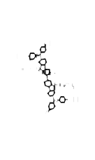 CCCCCCC1(CCCCCC)c2cc(-c3ccc4c(c3)C(CCCCCC)(CCCCCC)c3cc(N(c5ccc(C)cc5)c5ccc(C)cc5)ccc3-4)ccc2-c2ccc(N(c3ccc(C)cc3)c3ccc(C)cc3)cc21